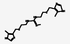 CN=C(NCCSCc1nc[nH]c1C)NCCSCc1nc[nH]c1C